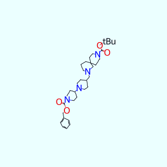 CC(C)(C)OC(=O)N1CCC2(CCCN(CC3CCN(C4CCN(C(=O)OCc5ccccc5)CC4)CC3)C2)CC1